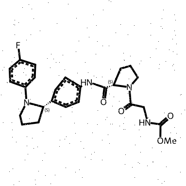 COC(=O)NCC(=O)N1CCC[C@H]1C(=O)Nc1ccc([C@@H]2CCCN2c2ccc(F)cc2)cc1